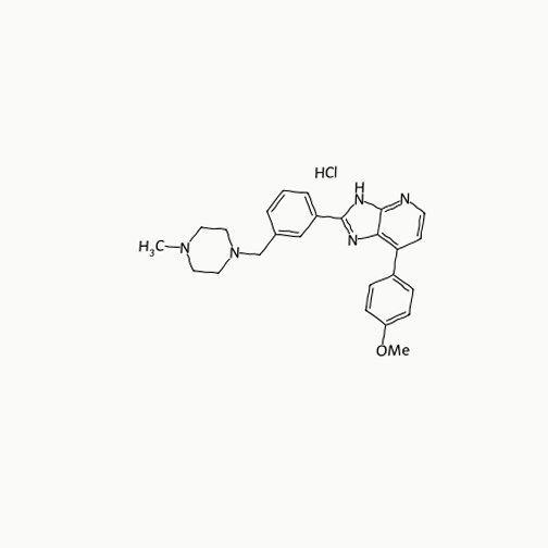 COc1ccc(-c2ccnc3[nH]c(-c4cccc(CN5CCN(C)CC5)c4)nc23)cc1.Cl